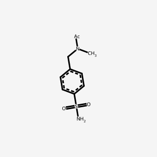 CC(=O)N(C)Cc1ccc(S(N)(=O)=O)cc1